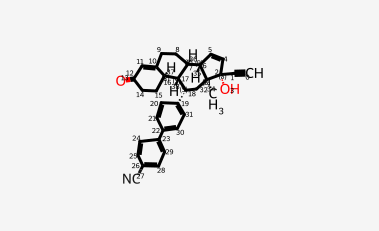 C#C[C@]1(O)C=C[C@H]2[C@@H]3CCC4=CC(=O)CC[C@@H]4[C@H]3[C@@H](c3ccc(-c4ccc(C#N)cc4)cc3)C[C@@]21C